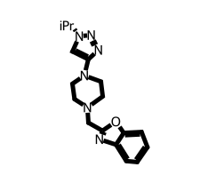 CC(C)n1cc(N2CCN(Cc3nc4ccccc4o3)CC2)nn1